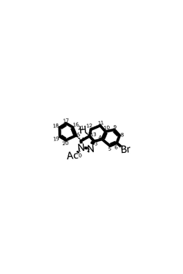 CC(=O)N1N=C2c3cc(Br)ccc3CC[C@@H]2[C@H]1c1ccccc1